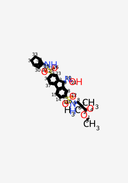 CCOC(=O)C(C)(C)CNS(=O)(=O)c1ccc2c(c1)C(=NO)c1cc(S(=O)(=O)NC3CC4CCC3C4)ccc1-2